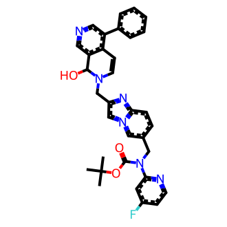 CC(C)(C)OC(=O)N(Cc1ccc2nc(CN3C=Cc4c(-c5ccccc5)cncc4C3O)cn2c1)c1cc(F)ccn1